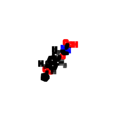 C=C1CCC2[C@]3(C)CO[C@@H](C4CCCC4)O[C@@H]3CC[C@@]2(C)[C@@H]1CCOc1cnc(C(=O)O)nc1